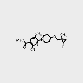 COC(=O)c1cc(C)c(N2CCC(OC[C@]3(C)C[C@@H]3F)CC2)nc1C#N